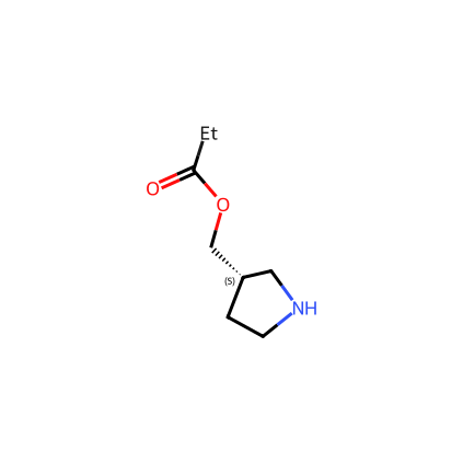 CCC(=O)OC[C@H]1CCNC1